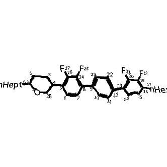 CCCCCCCC1CCC(c2ccc(-c3ccc(-c4ccc(CCCCCC)c(F)c4F)cc3)c(F)c2F)CO1